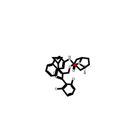 O=C(Nc1cnc2ccccc2c1)N1C2CC[C@H]1CC(OCc1c(-c3c(Cl)cccc3Cl)noc1C1CC1)C2